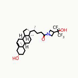 C[C@H](CCC(=O)N1CC(C(O)(C(F)(F)F)C(F)(F)F)C1)[C@H]1CC[C@H]2[C@@H]3CC=C4C[C@@H](O)CC[C@]4(C)[C@H]3CC[C@]12C